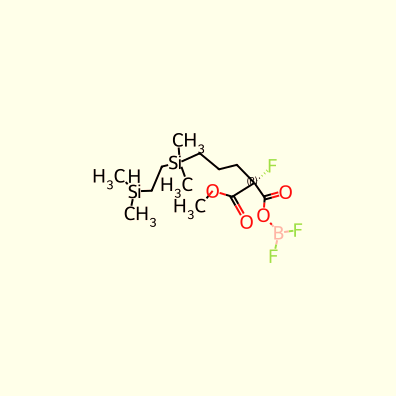 COC(=O)[C@@](F)(CCC[Si](C)(C)CC[SiH](C)C)C(=O)OB(F)F